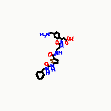 NCc1ccc(C(CC(=O)O)NC(=O)CCNC(=O)c2ccc(NC(=O)NCc3ccccc3)s2)cc1